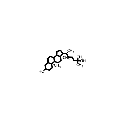 C[C@@H](CCCC(C)(C)O)C1CCC2C3CC=C4CC(O)CC[C@]4(C)C3CC[C@@]21C